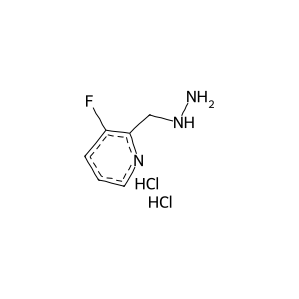 Cl.Cl.NNCc1ncccc1F